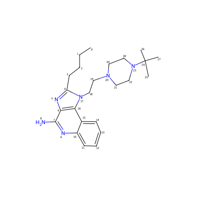 CCCCc1nc2c(N)nc3ccccc3c2n1CCN1CCN(C(C)(C)C)CC1